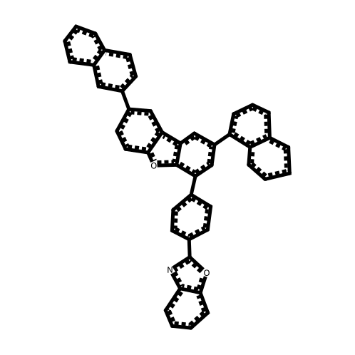 c1ccc2cc(-c3ccc4oc5c(-c6ccc(-c7nc8ccccc8o7)cc6)cc(-c6cccc7ccccc67)cc5c4c3)ccc2c1